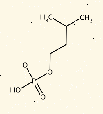 CC(C)CCOP([O])(=O)O